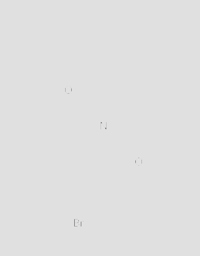 Cc1c(Br)cccc1N1C(=O)Cc2ccccc2C1=O